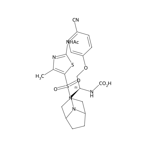 CC(=O)Nc1nc(C)c(S(=O)(=O)N2CC3CCC(C2)N3C[C@@H](COc2ccc(C#N)cc2)NC(=O)O)s1